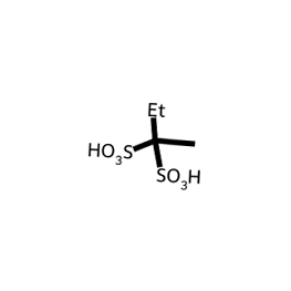 CCC(C)(S(=O)(=O)O)S(=O)(=O)O